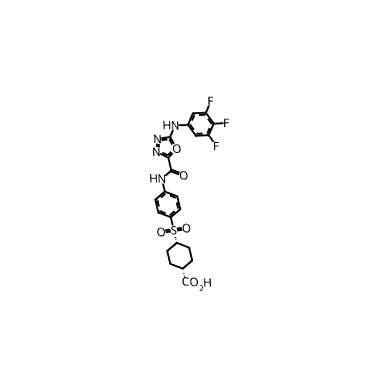 O=C(Nc1ccc(S(=O)(=O)[C@H]2CC[C@@H](C(=O)O)CC2)cc1)c1nnc(Nc2cc(F)c(F)c(F)c2)o1